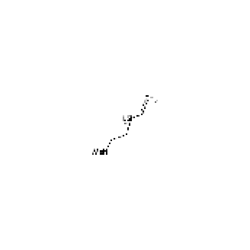 C=C[SiH2]CCNC